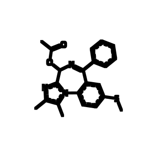 CSc1ccc2c(c1)C(c1ccccc1)=NC(OC(C)=O)c1nc(C)c(C)n1-2